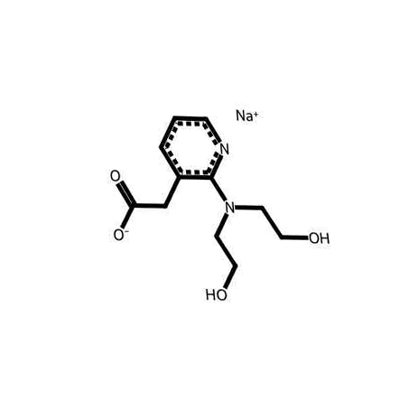 O=C([O-])Cc1cccnc1N(CCO)CCO.[Na+]